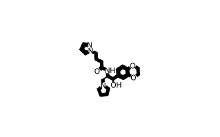 O=C(CCCn1cccn1)N[C@H](CN1CCCC1)[C@H](O)c1ccc2c(c1)OCCO2